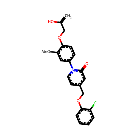 C=C(O)COc1ccc(-n2ccc(COc3ccccc3Cl)cc2=O)cc1OC